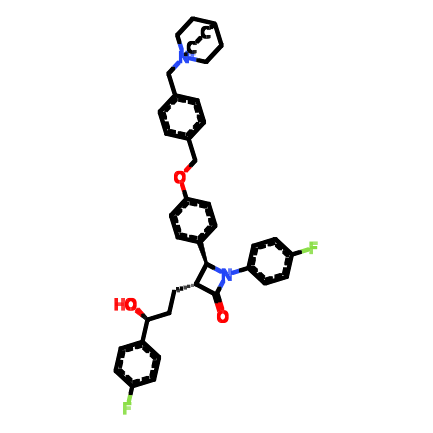 O=C1[C@H](CC[C@H](O)c2ccc(F)cc2)[C@@H](c2ccc(OCc3ccc(C[N+]45CCC(CC4)CC5)cc3)cc2)N1c1ccc(F)cc1